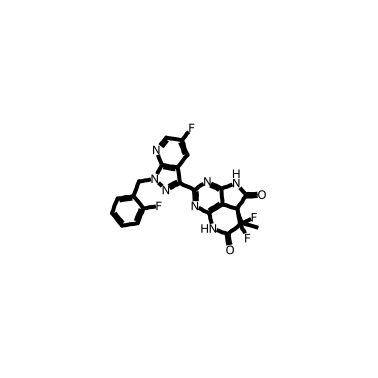 CC[C@]12C(=O)Nc3nc(-c4nn(Cc5ccccc5F)c5ncc(F)cc45)nc(c31)NC(=O)C2(F)F